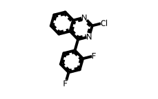 Fc1ccc(-c2nc(Cl)nc3ccccc23)c(F)c1